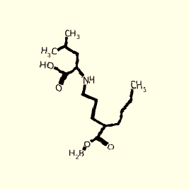 BOC(=O)C(CCCC)CCCNC(CC(C)C)C(=O)O